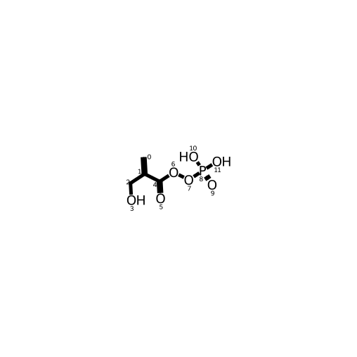 C=C(CO)C(=O)OOP(=O)(O)O